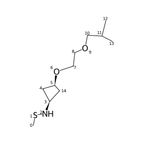 CSN[C@H]1C[C@@H](OCCOCC(C)C)C1